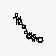 CC(=O)N[C@@H](C)CO[C@H]1C[C@H](COc2ccc3nc(N4CCCCC4)sc3n2)C1